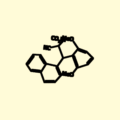 CCOC(=O)C(C#N)C(c1c(OC)cccc1OC)c1cccc2ccccc12